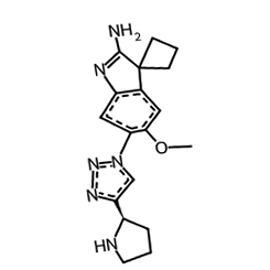 COc1cc2c(cc1-n1cc([C@H]3CCCN3)nn1)N=C(N)C21CCC1